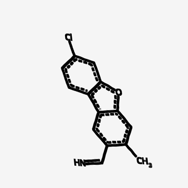 Cc1cc2oc3cc(Cl)ccc3c2cc1C=N